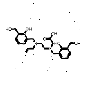 O=CCN(CCN(CC(=O)O)Cc1cccc(CO)c1O)Cc1cccc(CO)c1O